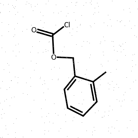 Cc1ccccc1COC(=O)Cl